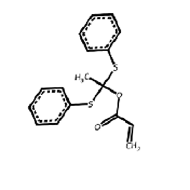 C=CC(=O)OC(C)(Sc1ccccc1)Sc1ccccc1